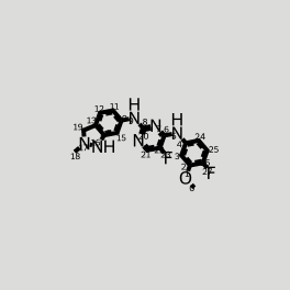 COc1cc(Nc2nc(Nc3ccc4c(c3)NN(C)C4)ncc2F)ccc1F